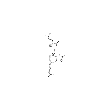 CC(=O)OC/C=C1\CCC(OC(C)=O)C(C)(CCCC(C)C(O)CC=C(C)C)OC1